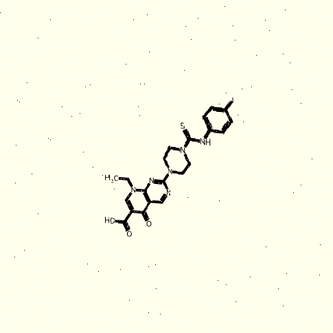 CCn1cc(C(=O)O)c(=O)c2cnc(N3CCN(C(=S)Nc4ccc(I)cc4)CC3)nc21